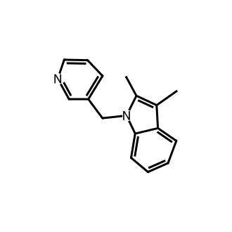 Cc1c(C)n(Cc2cccnc2)c2ccccc12